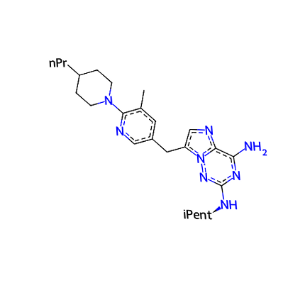 CCCC1CCN(c2ncc(Cc3cnc4c(N)nc(N[C@H](C)CCC)nn34)cc2C)CC1